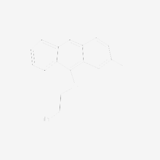 CCc1ccc2cc3ccccc3c(OCCC(C)C)c2c1